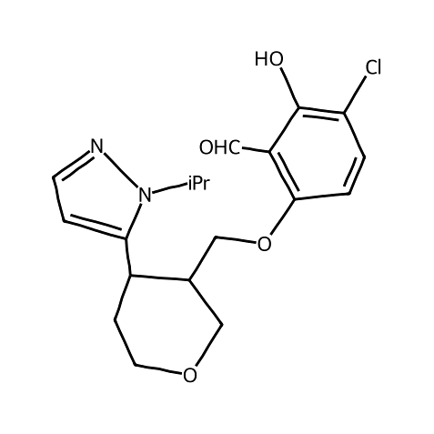 CC(C)n1nccc1C1CCOCC1COc1ccc(Cl)c(O)c1C=O